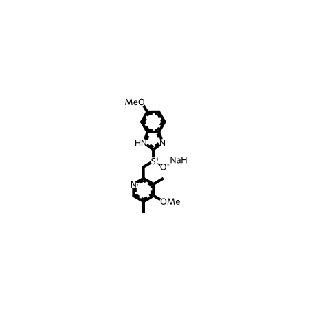 COc1ccc2nc([S@+]([O-])Cc3ncc(C)c(OC)c3C)[nH]c2c1.[NaH]